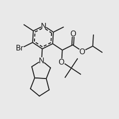 Cc1nc(C)c(C(OC(C)(C)C)C(=O)OC(C)C)c(N2CC3CCCC3C2)c1Br